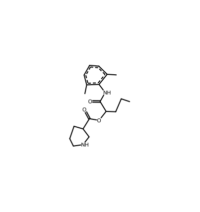 CCCC(OC(=O)C1CCCNC1)C(=O)Nc1c(C)cccc1C